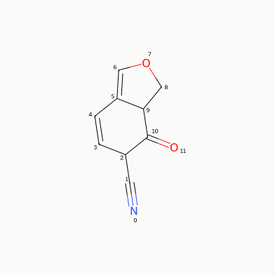 N#CC1C=CC2=COCC2C1=O